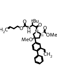 C=CCCOC(=O)NC(C(=O)N1C[C@](OC)(c2ccc(-c3ccccc3)c(C=C)c2)C[C@H]1C(=O)OC)C(C)(C)C